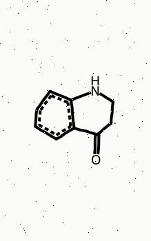 O=C1[CH]CNc2ccccc21